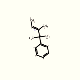 C/C=C(\C)C(c1ccccc1)(C(F)(F)F)C(F)(F)F